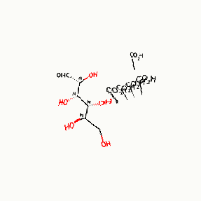 CC(=O)O.CC(=O)O.CC(=O)O.CC(=O)O.CC(=O)O.O=C[C@H](O)[C@@H](O)[C@H](O)[C@H](O)CO